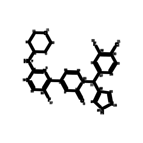 O=c1cc(-c2nc(NC3CCOCC3)ncc2F)ccn1C(c1cn[nH]c1)c1ccc(Cl)c(F)c1